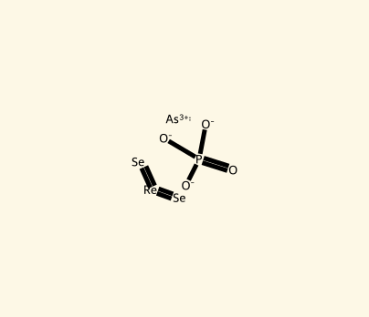 O=P([O-])([O-])[O-].[As+3].[Se]=[Re]=[Se]